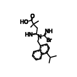 CC(C)c1ccc(CN(C(=N)Br)C(=N)CC(C)(C)C(=O)O)c2ccccc12